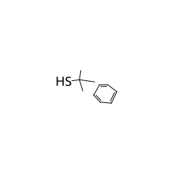 CC(C)(C)S.c1ccccc1